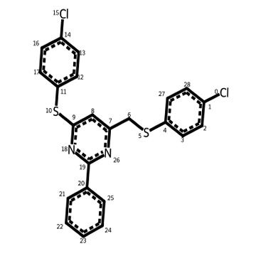 Clc1ccc(SCc2cc(Sc3ccc(Cl)cc3)nc(-c3ccccc3)n2)cc1